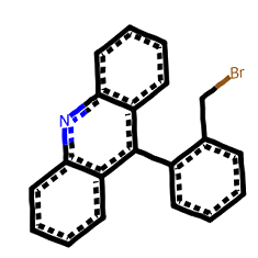 BrCc1ccccc1-c1c2ccccc2nc2ccccc12